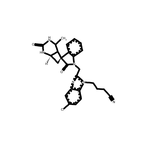 CC1NC(=O)N[C@@H]2C[C@@]3(C(=O)N(Cc4nc5cc(Cl)ccc5n4CCCC#N)c4ccccc43)C12